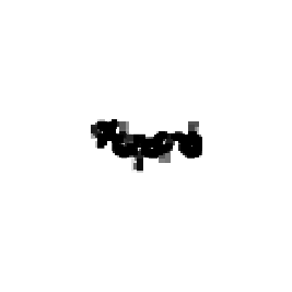 Cc1cnn(C)c1C(=N)/C=C\C(=N)N[C@H]1CC2CN(Cc3ccccc3F)C[C@@H]2C1